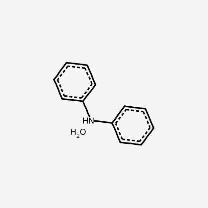 O.c1ccc(Nc2ccccc2)cc1